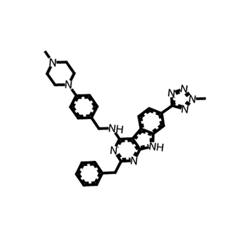 CN1CCN(c2ccc(CNc3nc(Cc4ccccc4)nc4[nH]c5cc(-c6nnn(C)n6)ccc5c34)cc2)CC1